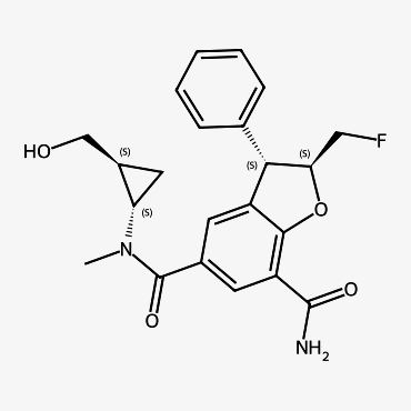 CN(C(=O)c1cc(C(N)=O)c2c(c1)[C@H](c1ccccc1)[C@@H](CF)O2)[C@H]1C[C@@H]1CO